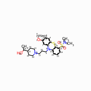 CCCCCCCOc1ccc2c(c1)N(CCCN1CCC(C(C)O)CC1)c1cccc(S(=O)(=O)N(C)C)c1S2